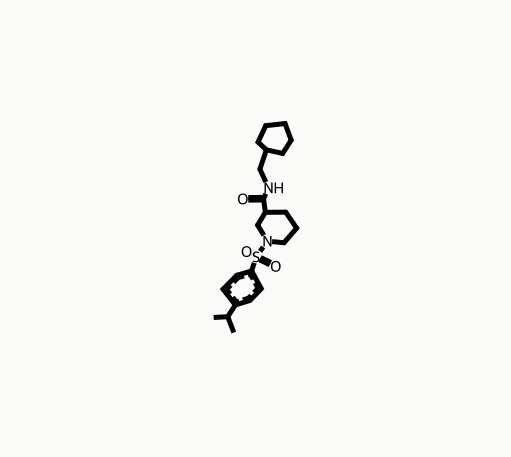 CC(C)c1ccc(S(=O)(=O)N2CCCC(C(=O)NCC3CCCCC3)C2)cc1